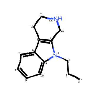 [CH2]CCn1c2c(c3ccccc31)CCNC2